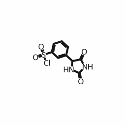 O=C1NC(=O)C(c2cccc(S(=O)(=O)Cl)c2)N1